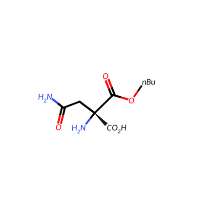 CCCCOC(=O)[C@](N)(CC(N)=O)C(=O)O